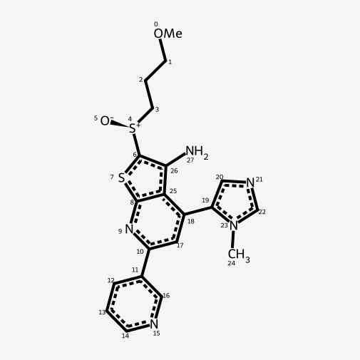 COCCC[S@+]([O-])c1sc2nc(-c3cccnc3)cc(-c3cncn3C)c2c1N